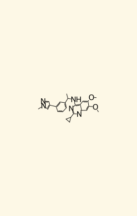 COc1cc2nc(C3CC3)nc(NC(C)c3cccc(-c4cnn(C)c4)c3)c2cc1OC